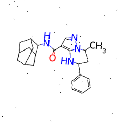 CC1CC(c2ccccc2)Nc2c(C(=O)NC3C4CC5CC(C4)CC3C5)cnn21